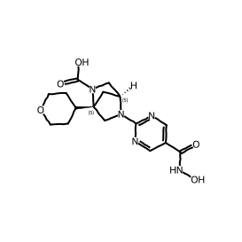 O=C(NO)c1cnc(N2C[C@@]3(C4CCOCC4)C[C@H]2CN3C(=O)O)nc1